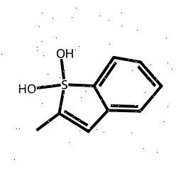 CC1=Cc2ccccc2S1(O)O